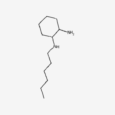 CCCCCCNC1CCCCC1N